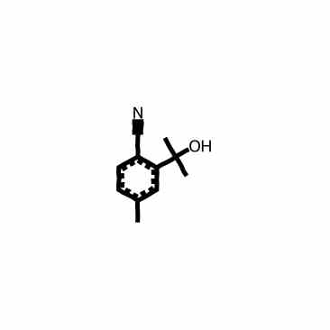 Cc1ccc(C#N)c(C(C)(C)O)c1